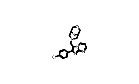 Clc1ccc(-c2nc3ncccn3c2CN2CC3COCC(C2)N3)cc1